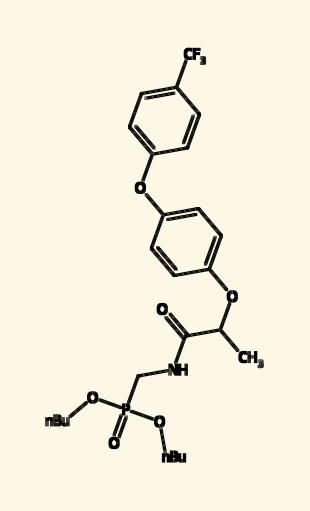 CCCCOP(=O)(CNC(=O)C(C)Oc1ccc(Oc2ccc(C(F)(F)F)cc2)cc1)OCCCC